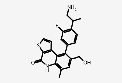 Cc1cc(CO)c(-c2ccc(C(C)CN)c(F)c2)c2c1[nH]c(=O)c1sccc12